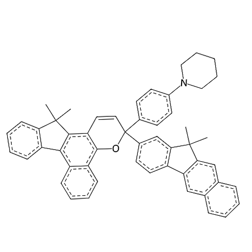 CC1(C)c2cc(C3(c4ccc(N5CCCCC5)cc4)C=Cc4c5c(c6ccccc6c4O3)-c3ccccc3C5(C)C)ccc2-c2cc3ccccc3cc21